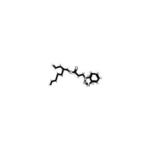 CCCCCC(CCC)COC(=O)CCn1nnc2ccccc21